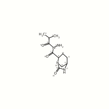 CC(C)C(=O)N(N)C(=O)C1CCC2CN1C(=O)N2